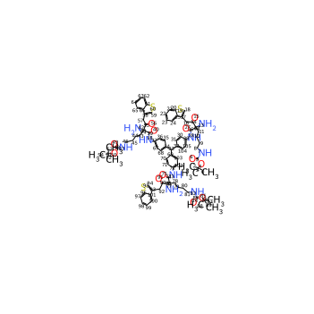 CC(C)(C)OC(=O)NCCCC[C@@](N)(C(=O)Cc1csc2ccccc12)C(=O)Nc1ccc(C(c2ccc(NC(=O)[C@@](N)(CCCCNC(=O)OC(C)(C)C)C(=O)Cc3csc4ccccc34)cc2)c2ccc(NC(=O)[C@@](N)(CCCCNC(=O)OC(C)(C)C)C(=O)Cc3csc4ccccc34)cc2)cc1